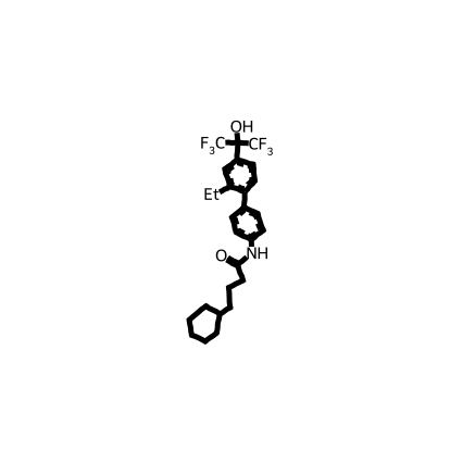 CCc1cc(C(O)(C(F)(F)F)C(F)(F)F)ccc1-c1ccc(NC(=O)CCCC2CCCCC2)cc1